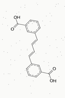 O=C(O)c1cccc(/C=C/C=C/c2cccc(C(=O)O)c2)c1